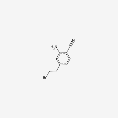 N#Cc1ccc(CCBr)cc1N